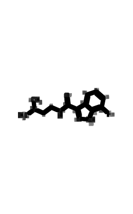 CN(C)CCNC(=O)c1n[nH]c2c(F)cccc12